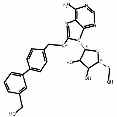 Nc1ncnc2c1nc(NCc1ccc(-c3cccc(CO)c3)cc1)n2[C@@H]1O[C@H](CO)C(O)C1O